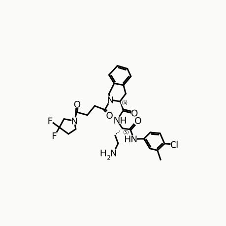 Cc1cc(NC(=O)[C@H](CCN)NC(=O)[C@@H]2Cc3ccccc3CN2C(=O)CCC(=O)N2CCC(F)(F)C2)ccc1Cl